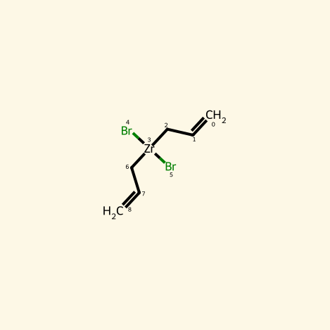 C=C[CH2][Zr]([Br])([Br])[CH2]C=C